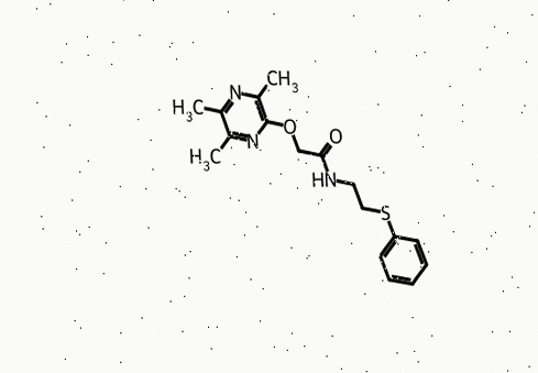 Cc1nc(C)c(OCC(=O)NCCSc2ccccc2)nc1C